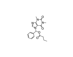 CCCC(=O)OC(c1ccccc1)n1cnc2c1c(=O)n(C)c(=O)n2C